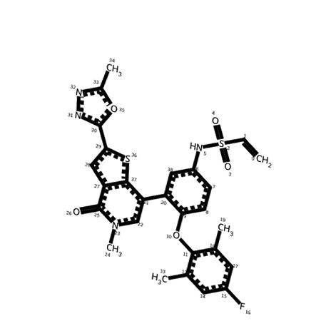 C=CS(=O)(=O)Nc1ccc(Oc2c(C)cc(F)cc2C)c(-c2cn(C)c(=O)c3cc(-c4nnc(C)o4)sc23)c1